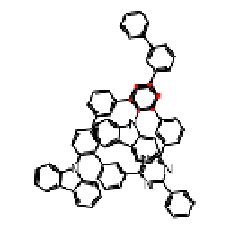 c1ccc(-c2cccc(-c3ccc(-n4c5ccccc5c5ccccc54)c(-c4cccc(-c5nc(-c6ccccc6)nc(-c6cccc(-c7cc(-c8cccc(-c9ccccc9)c8)ccc7-n7c8ccccc8c8ccccc87)c6)n5)c4)c3)c2)cc1